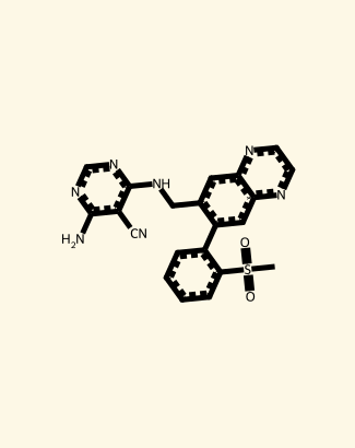 CS(=O)(=O)c1ccccc1-c1cc2nccnc2cc1CNc1ncnc(N)c1C#N